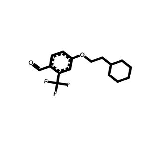 O=Cc1ccc(OCCC2CCCCC2)cc1C(F)(F)F